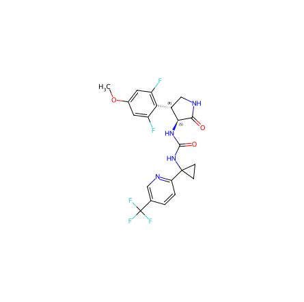 COc1cc(F)c([C@@H]2CNC(=O)[C@H]2NC(=O)NC2(c3ccc(C(F)(F)F)cn3)CC2)c(F)c1